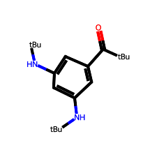 CC(C)(C)Nc1cc(NC(C)(C)C)cc(C(=O)C(C)(C)C)c1